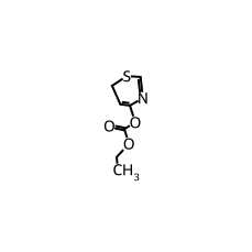 CCOC(=O)OC1=CCSC=N1